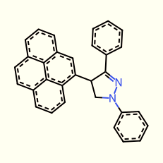 c1ccc(C2=NN(c3ccccc3)CC2c2cc3cccc4ccc5cccc2c5c43)cc1